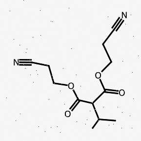 CC(C)C(C(=O)OCCC#N)C(=O)OCCC#N